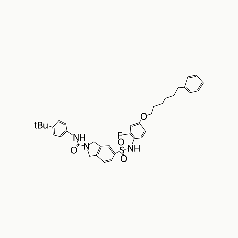 CC(C)(C)c1ccc(NC(=O)N2Cc3ccc(S(=O)(=O)Nc4ccc(OCCCCCCc5ccccc5)cc4F)cc3C2)cc1